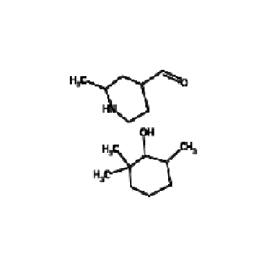 CC1CC(C=O)CCN1.CC1CCCC(C)(C)C1O